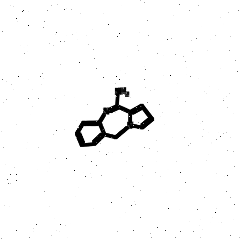 NC1=Nc2ccccc2Cn2cccc21